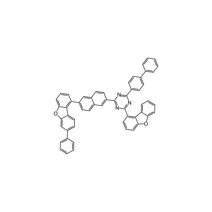 c1ccc(-c2ccc(-c3nc(-c4ccc5cc(-c6cccc7oc8cc(-c9ccccc9)ccc8c67)ccc5c4)nc(-c4cccc5oc6ccccc6c45)n3)cc2)cc1